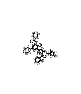 O=C(Cn1cc(N2CCOCC2)cc(-c2cc(NCc3ccc(Cl)s3)n(C(=O)c3ccccc3F)n2)c1=O)N1CCOCC1